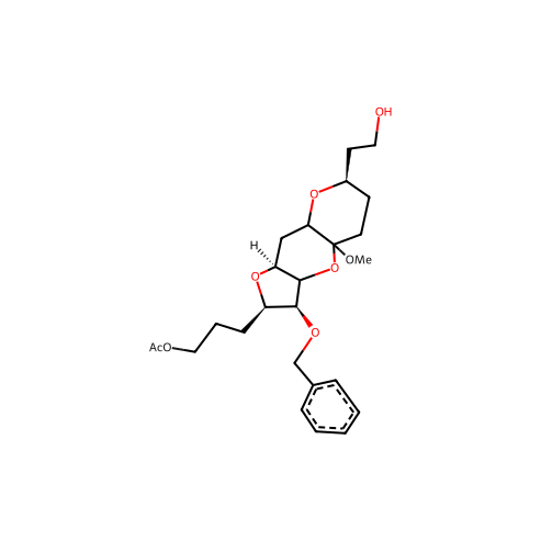 COC12CC[C@H](CCO)OC1C[C@@H]1O[C@H](CCCOC(C)=O)[C@H](OCc3ccccc3)C1O2